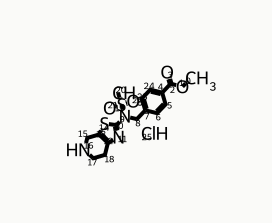 COC(=O)c1ccc(CN(c2nc3c(s2)CNCC3)S(C)(=O)=O)cc1.Cl